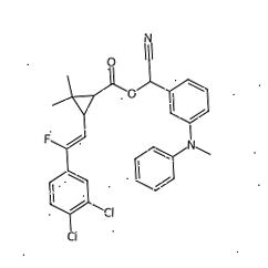 CN(c1ccccc1)c1cccc(C(C#N)OC(=O)C2C(C=C(F)c3ccc(Cl)c(Cl)c3)C2(C)C)c1